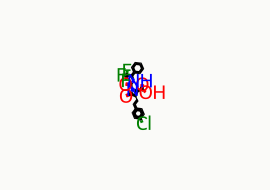 O=C(O)C1[C@@H](CCc2ccc(Cl)cc2)C(=O)N1C(=O)NC(C1CCCCC1)C(F)(F)F